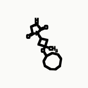 CC1(OC2CCCCCCCC2)CC(N2C(=O)CNC2=O)C1